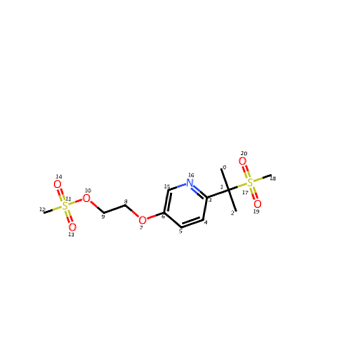 CC(C)(c1ccc(OCCOS(C)(=O)=O)cn1)S(C)(=O)=O